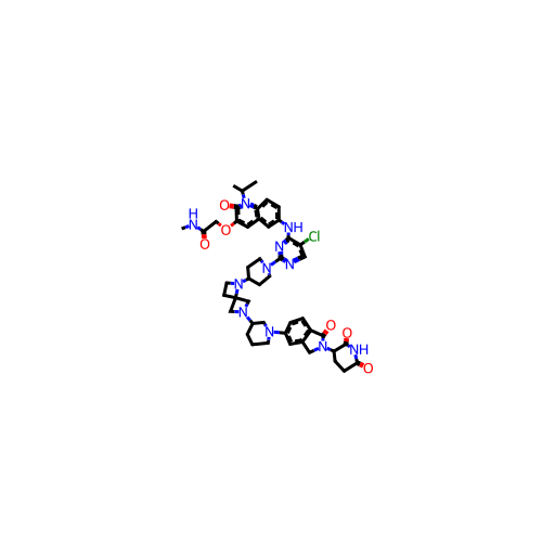 CNC(=O)COc1cc2cc(Nc3nc(N4CCC(N5CCC56CN(C5CCCN(c7ccc8c(c7)CN(C7CCC(=O)NC7=O)C8=O)C5)C6)CC4)ncc3Cl)ccc2n(C(C)C)c1=O